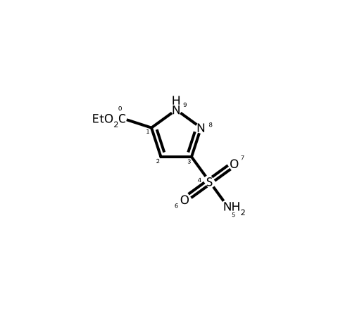 CCOC(=O)c1cc(S(N)(=O)=O)n[nH]1